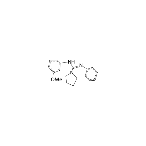 COc1cccc(NC(=Nc2ccccc2)N2CCCC2)c1